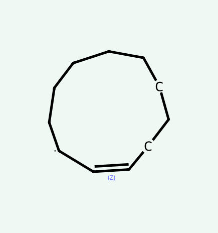 [CH]1/C=C\CCCCCCCC1